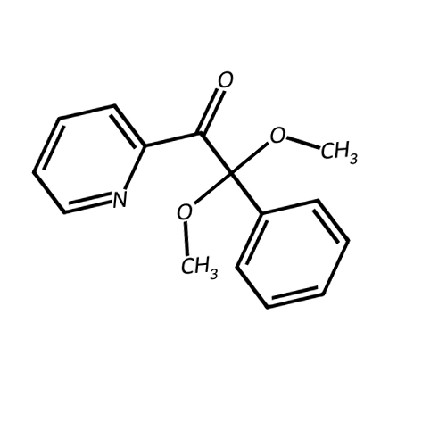 COC(OC)(C(=O)c1ccccn1)c1ccccc1